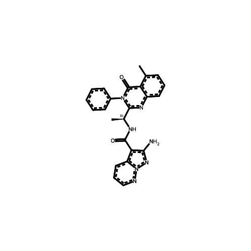 Cc1cccc2nc([C@H](C)NC(=O)c3c(N)nn4ncccc34)n(-c3ccccc3)c(=O)c12